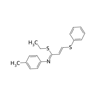 CCSC(C=CSc1ccccc1)=Nc1ccc(C)cc1